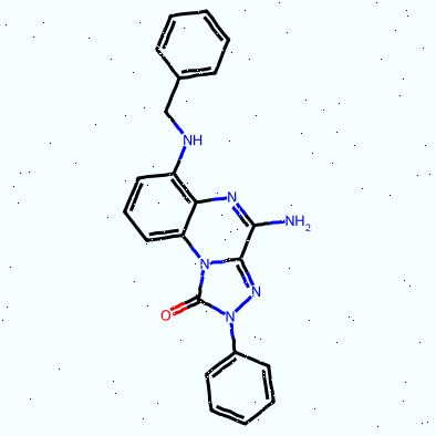 Nc1nc2c(NCc3ccccc3)cccc2n2c(=O)n(-c3ccccc3)nc12